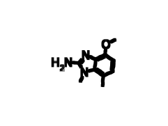 COc1ccc(C)c2c1nc(N)n2C